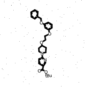 CC(C)(C)OC(=O)c1ccc(N2CCC(OCCOc3cccc(OCc4ccccc4)c3)CC2)nc1